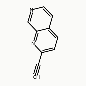 C#Cc1ccc2ccncc2n1